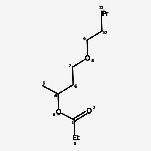 CCC(=O)OC(C)CCOCCC(C)C